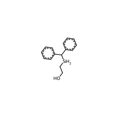 OCC[SiH2]C(c1ccccc1)c1ccccc1